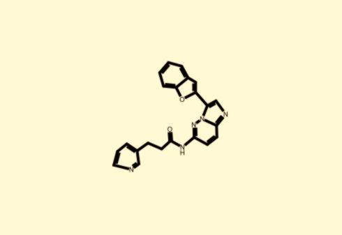 O=C(CCc1cccnc1)Nc1ccc2ncc(-c3cc4ccccc4o3)n2n1